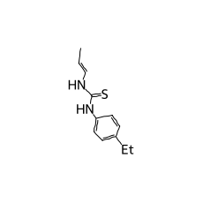 CC=CNC(=S)Nc1ccc(CC)cc1